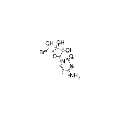 Nc1ccn([C@@H]2O[C@H](C(O)Br)[C@@H](O)[C@H]2O)c(=O)n1